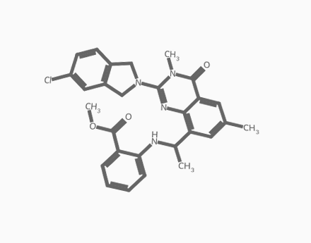 COC(=O)c1ccccc1NC(C)c1cc(C)cc2c(=O)n(C)c(N3Cc4ccc(Cl)cc4C3)nc12